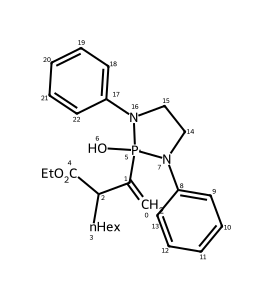 C=C(C(CCCCCC)C(=O)OCC)[P]1(O)N(c2ccccc2)CCN1c1ccccc1